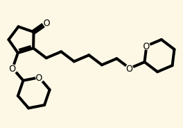 O=C1CCC(OC2CCCCO2)=C1CCCCCCOC1CCCCO1